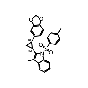 Cc1ccc(S(=O)(=O)n2c([C@H]3C[C@H]3c3ccc4c(c3)OCO4)c(C)c3ccccc32)cc1